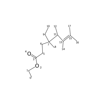 CCOC(=O)CCC(C)(CC)C(C)C(C)=C(C)C